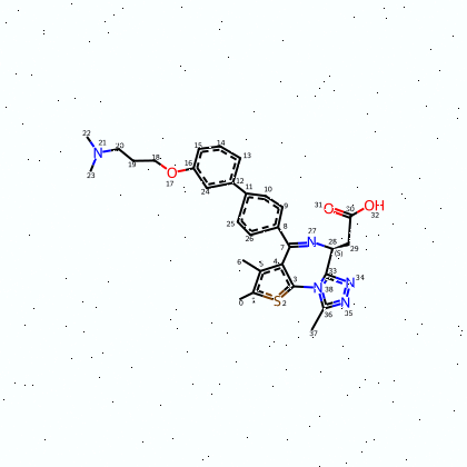 Cc1sc2c(c1C)C(c1ccc(-c3cccc(OCCCN(C)C)c3)cc1)=N[C@@H](CC(=O)O)c1nnc(C)n1-2